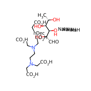 CCCCCCCCCCCC(=O)O.C[C@H](O)[C@H](O)[C@@H](O)[C@@H](O)C=O.O=C(O)CN(CCN(CC(=O)O)CC(=O)O)CC(=O)O.[NaH].[NaH].[NaH].[NaH]